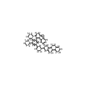 c1ccc(-c2ccccc2-c2nc(-c3cccc(-c4ccc5c(ccc6c7ccccc7ccc56)c4)c3)nc(-c3cccc4oc5ccccc5c34)n2)cc1